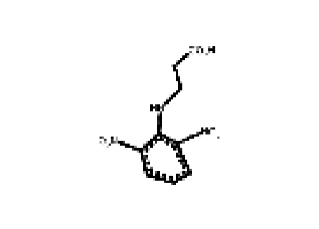 O=C(O)CCNc1c([N+](=O)[O-])cccc1[N+](=O)[O-]